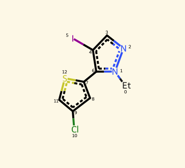 CCn1ncc(I)c1-c1cc(Cl)cs1